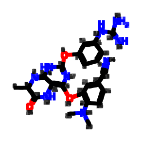 CC1N=C2NC(Oc3cccc(NC(=N)N)c3)=NC(Oc3cc(C#N)ccc3N(C)C)=C2NC1=O